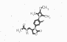 COC1C(C)N(c2ccc(N3C(=O)OCC3CNC(C)=O)cc2F)C1C